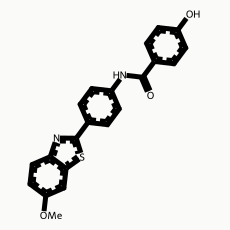 COc1ccc2nc(-c3ccc(NC(=O)c4ccc(O)cc4)cc3)sc2c1